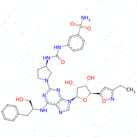 CCc1cc([C@H]2O[C@@H](n3cnc4c(N[C@H](CO)Cc5ccccc5)nc(N5CC[C@@H](NC(=O)Nc6cccc(S(N)(=O)=O)c6)C5)nc43)[C@H](O)[C@@H]2O)on1